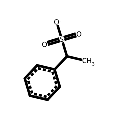 CC(c1ccccc1)S([O])(=O)=O